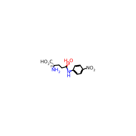 N[C@@H](CCC(=O)Nc1ccc([N+](=O)[O-])cc1)C(=O)O.O